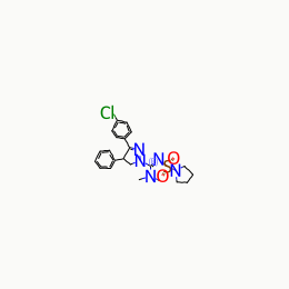 CN(C)/C(=N\S(=O)(=O)N1CCCC1)N1CC(c2ccccc2)C(c2ccc(Cl)cc2)=N1